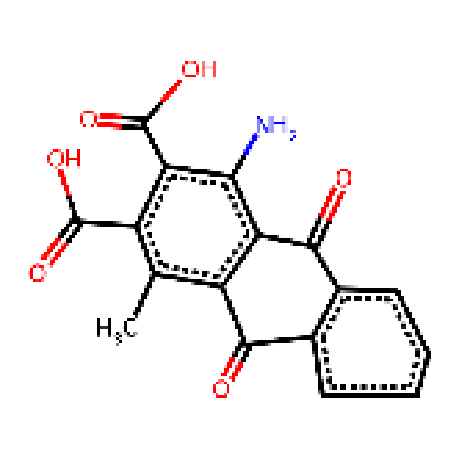 Cc1c(C(=O)O)c(C(=O)O)c(N)c2c1C(=O)c1ccccc1C2=O